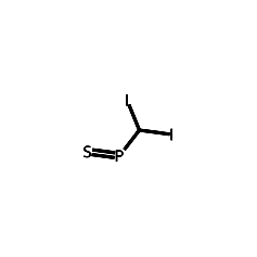 S=PC(I)I